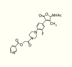 CC(=O)N[C@@H]1OC(=O)C(c2ccc(N3CCN(C(=O)COC(=O)c4cccnc4)CC3)c(F)c2)=C1C